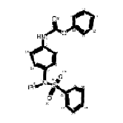 CC(C)N(c1ccc(NC(=O)Oc2ccccc2)cc1)S(=O)(=O)c1ccccc1